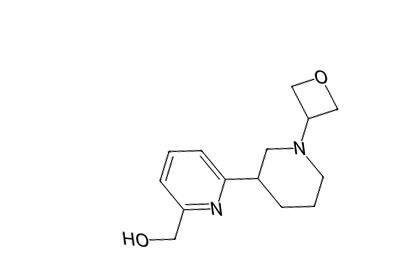 OCc1cccc(C2CCCN(C3COC3)C2)n1